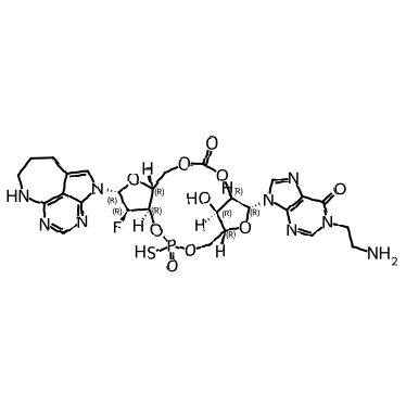 NCCn1cnc2c(ncn2[C@@H]2O[C@@H]3COP(=O)(S)O[C@H]4[C@@H](F)[C@H](n5cc6c7c(ncnc75)NCCC6)O[C@@H]4COC(=O)O[C@@H]2[C@@H]3O)c1=O